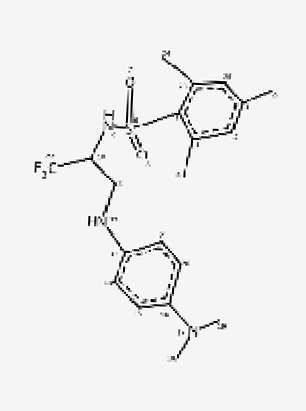 Cc1cc(C)c(S(=O)(=O)NC(CNc2ccc(N(C)C)cc2)C(F)(F)F)c(C)c1